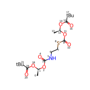 C[C@H](OC(=O)NCCSC(=O)O[C@@H](C)OC(=O)C(C)(C)C)OC(=O)C(C)(C)C